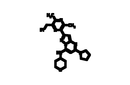 Cc1nc(C)c(-c2cc3nc(N4CCCC4)cc(NC4CCOCC4)n3n2)nc1CC(C)C